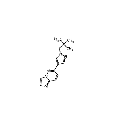 CC(C)(C)Cn1cc(-c2ccc3nccn3n2)cn1